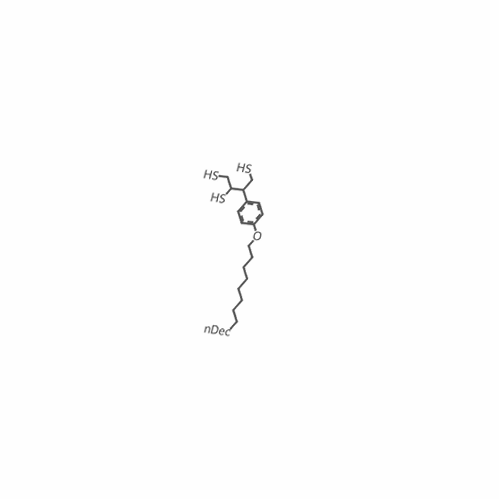 CCCCCCCCCCCCCCCCCCOc1ccc(C(CS)C(S)CS)cc1